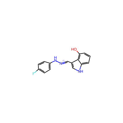 Oc1cccc2[nH]cc(/C=N/Nc3ccc(F)cc3)c12